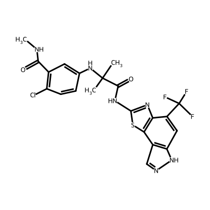 CNC(=O)c1cc(NC(C)(C)C(=O)Nc2nc3c(C(F)(F)F)cc4[nH]ncc4c3s2)ccc1Cl